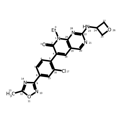 CCn1c(=O)c(-c2ccc(-c3noc(C)n3)cc2Cl)cc2cnc(NC3COC3)nc21